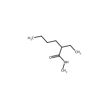 CCCCC(CC)C(=O)NC